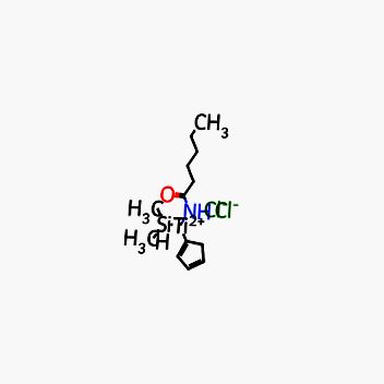 CCCCCC(=O)[NH][Ti+2]([C]1=CC=CC1)[SiH](C)C.[Cl-].[Cl-]